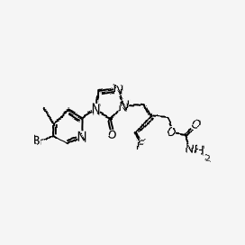 Cc1cc(-n2cnn(CC(=CF)COC(N)=O)c2=O)ncc1Br